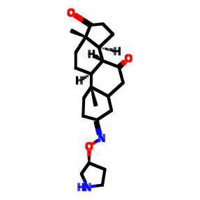 C[C@]12CCC(=NO[C@H]3CCNC3)CC1CC(=O)[C@@H]1[C@@H]2CC[C@]2(C)C(=O)CC[C@@H]12